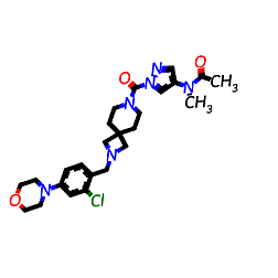 CC(=O)N(C)c1cnn(C(=O)N2CCC3(CC2)CN(Cc2ccc(N4CCOCC4)cc2Cl)C3)c1